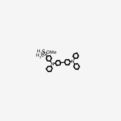 CO[Si](C)(C)c1ccc(N(c2ccccc2)c2ccc(-c3ccc(N(c4ccccc4)c4ccccc4)cc3)cc2)cc1